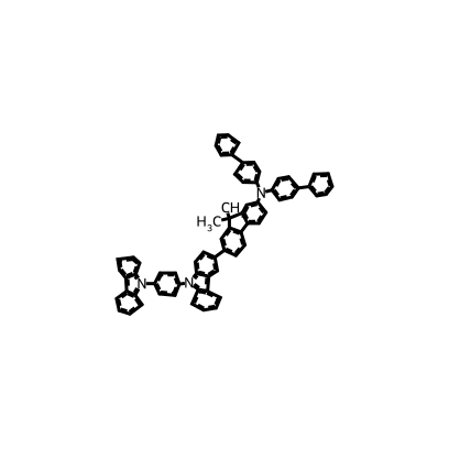 CC1(C)c2cc(-c3ccc4c(c3)c3ccccc3n4-c3ccc(-n4c5ccccc5c5ccccc54)cc3)ccc2-c2ccc(N(c3ccc(-c4ccccc4)cc3)c3ccc(-c4ccccc4)cc3)cc21